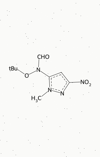 Cn1nc([N+](=O)[O-])cc1N(C=O)OC(C)(C)C